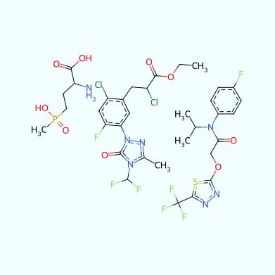 CC(C)N(C(=O)COc1nnc(C(F)(F)F)s1)c1ccc(F)cc1.CCOC(=O)C(Cl)Cc1cc(-n2nc(C)n(C(F)F)c2=O)c(F)cc1Cl.CP(=O)(O)CCC(N)C(=O)O